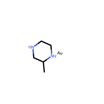 CC1CNCCN1.[Au]